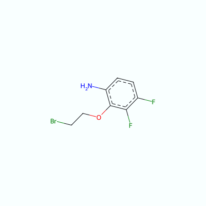 Nc1ccc(F)c(F)c1OCCBr